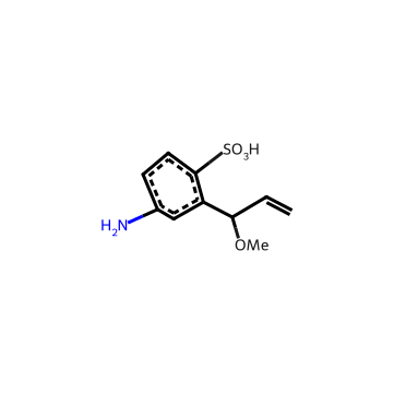 C=CC(OC)c1cc(N)ccc1S(=O)(=O)O